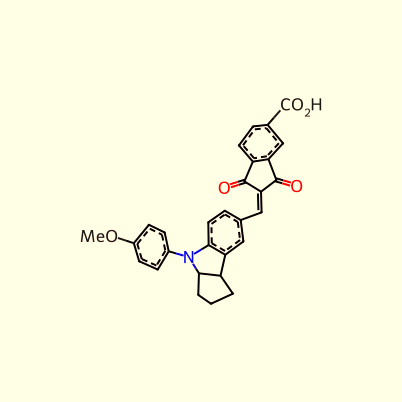 COc1ccc(N2c3ccc(/C=C4\C(=O)c5ccc(C(=O)O)cc5C4=O)cc3C3CCCC32)cc1